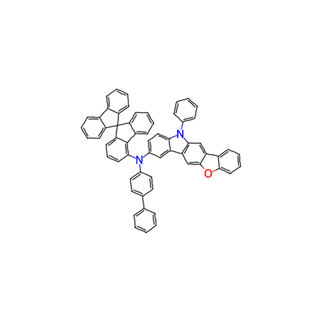 c1ccc(-c2ccc(N(c3ccc4c(c3)c3cc5oc6ccccc6c5cc3n4-c3ccccc3)c3cccc4c3-c3ccccc3C43c4ccccc4-c4ccccc43)cc2)cc1